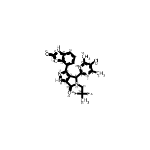 Cc1nc(C2c3c(-c4cccc5[nH]c(=O)oc45)n[nH]c3C(=O)N2CC(C)(F)F)nc(C)c1Cl